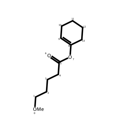 COCCCCC(=O)OC1=CCCCC1